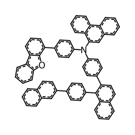 c1ccc2cc(-c3ccc(-c4c(-c5ccc(N(c6ccc(-c7cccc8c7oc7ccccc78)cc6)c6cc7ccccc7c7ccccc67)cc5)ccc5ccccc45)cc3)ccc2c1